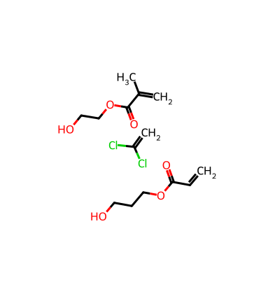 C=C(C)C(=O)OCCO.C=C(Cl)Cl.C=CC(=O)OCCCO